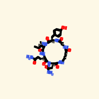 CC[C@H](C)C1NC(=O)[C@H](Cc2ccc(O)cc2)NC(=O)CNC(=O)CCCNC(=O)[C@H](CC(N)=O)NC(=O)[C@H](CCC(N)=O)NC1=O